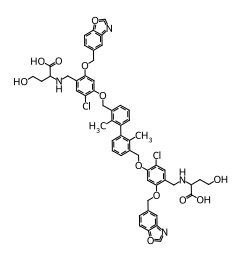 Cc1c(COc2cc(OCc3ccc4ocnc4c3)c(CNC(CCO)C(=O)O)cc2Cl)cccc1-c1cccc(COc2cc(OCc3ccc4ocnc4c3)c(CNC(CCO)C(=O)O)cc2Cl)c1C